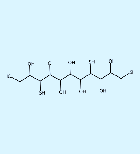 OCC(O)C(S)C(O)C(O)C(O)C(O)C(S)C(O)C(O)CS